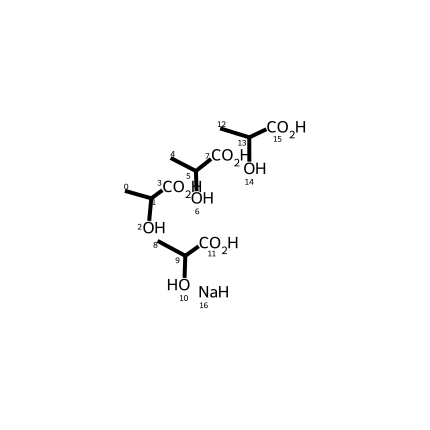 CC(O)C(=O)O.CC(O)C(=O)O.CC(O)C(=O)O.CC(O)C(=O)O.[NaH]